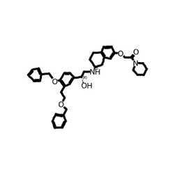 O=C(COc1ccc2c(c1)C[C@@H](NC[C@H](O)c1ccc(OCc3ccccc3)c(CCOCc3ccccc3)c1)CC2)N1CCCCC1